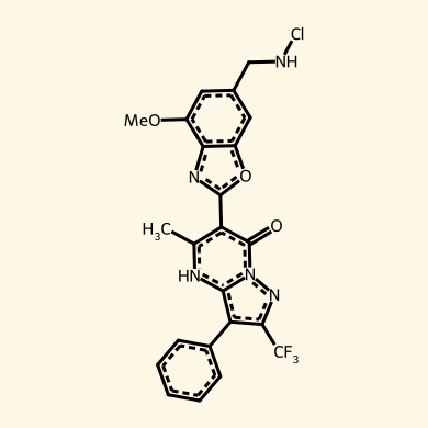 COc1cc(CNCl)cc2oc(-c3c(C)[nH]c4c(-c5ccccc5)c(C(F)(F)F)nn4c3=O)nc12